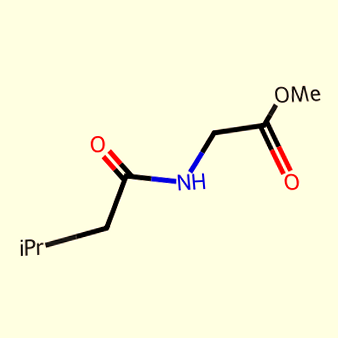 COC(=O)CNC(=O)CC(C)C